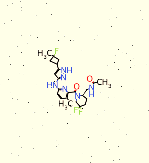 CC(=O)NC[C@H]1CCC(F)(F)CN1C(=O)c1nc(Nc2cc(C3CC(C)(F)C3)[nH]n2)ccc1C